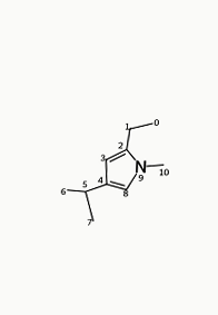 CCc1cc(C(C)C)cn1C